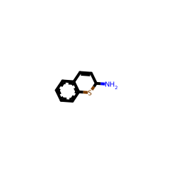 NC1C=Cc2ccccc2S1